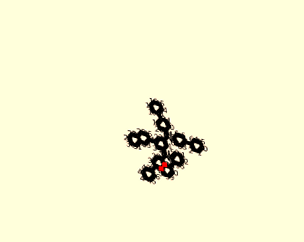 c1ccc(-c2ccc(N(c3ccc(-c4ccccc4)cc3)c3cc(-c4ccc5ccccc5c4)cc(N(c4ccc(-c5ccccc5)cc4)c4ccccc4-c4ccccc4)c3)cc2)cc1